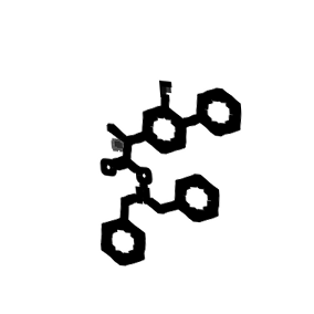 C[C@H](C(=O)ON(Cc1ccccc1)Cc1ccccc1)c1ccc(-c2ccccc2)c(F)c1